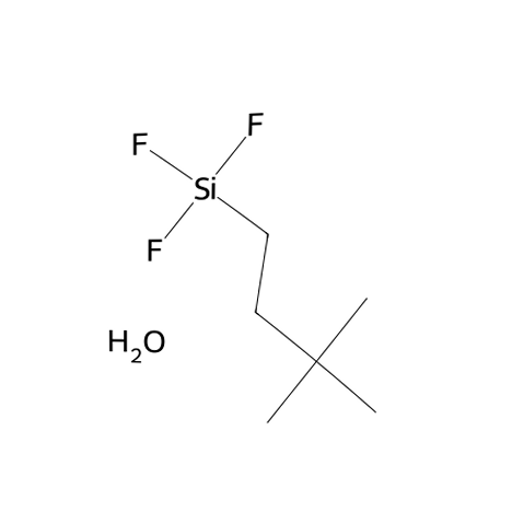 CC(C)(C)CC[Si](F)(F)F.O